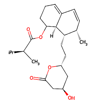 CC(C)[C@H](C)C(=O)OC1CCC=C2C=C[C@H](C)[C@H](CC[C@@H]3C[C@@H](O)CC(=O)O3)[C@H]21